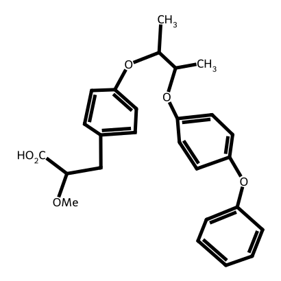 COC(Cc1ccc(OC(C)C(C)Oc2ccc(Oc3ccccc3)cc2)cc1)C(=O)O